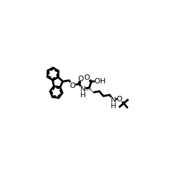 CC(C)(C)ONCCCC[C@H](NC(=O)OCC1c2ccccc2-c2ccccc21)C(=O)O